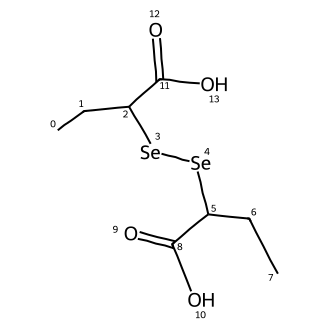 CCC([Se][Se]C(CC)C(=O)O)C(=O)O